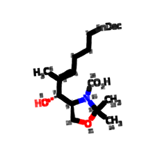 CCCCCCCCCCCCCC=C(C)[C@@H](O)[C@@H]1COC(C)(C)N1C(=O)O